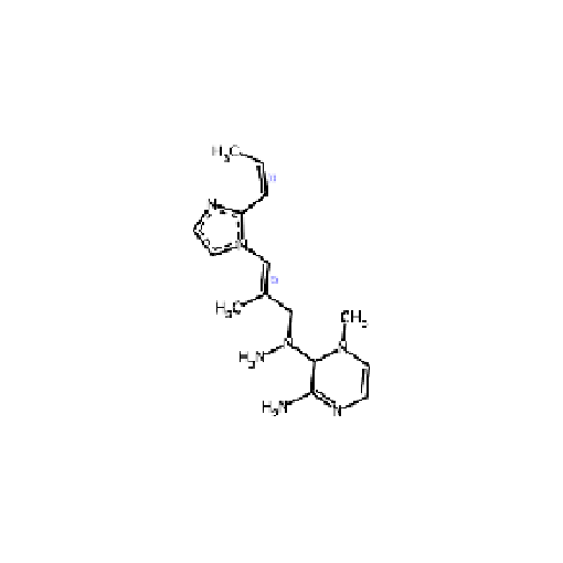 C/C=C\c1nccn1/C=C(\C)CN(N)C1C(N)=NC=CN1C